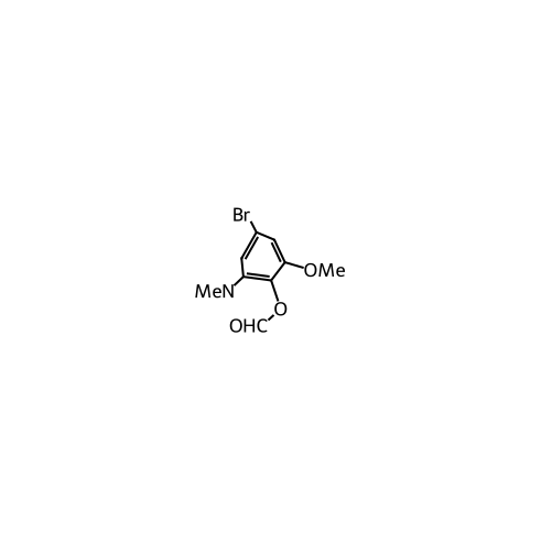 CNc1cc(Br)cc(OC)c1OC=O